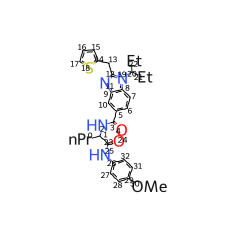 CCCC(NC(=O)c1ccc2c(c1)nc(Cc1cccs1)n2C(CC)CC)C(=O)Nc1ccc(OC)cc1